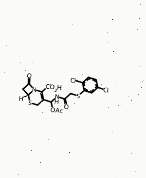 CC(=O)OC(NC(=O)CSc1cc(Cl)ccc1Cl)C1=C(C(=O)O)N2C(=O)C[C@H]2SC1